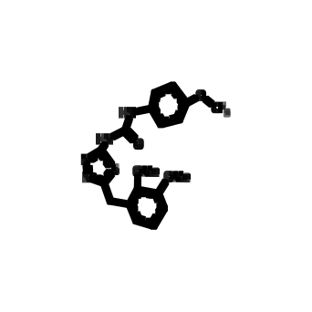 COc1cccc(Cc2nnc(NC(=O)Nc3ccc(OC(F)(F)F)cc3)s2)c1OC